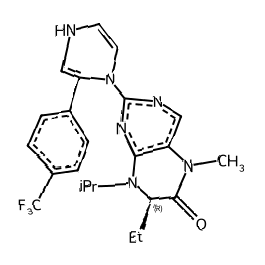 CC[C@@H]1C(=O)N(C)c2cnc(N3C=CNC=C3c3ccc(C(F)(F)F)cc3)nc2N1C(C)C